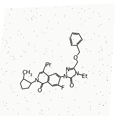 CCn1c(COCc2ccccc2)nn(-c2cc3c(C(C)C)cn(C4CCCC4C)c(=O)c3cc2F)c1=O